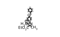 CCOC(=O)c1c(C)nc(-n2ccc(OCc3ccccc3)cc2=O)n1C